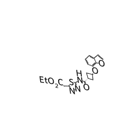 CCOC(=O)Cc1nnc(NC(=O)[C@H]2C[C@H](Oc3cccc4ccoc34)C2)s1